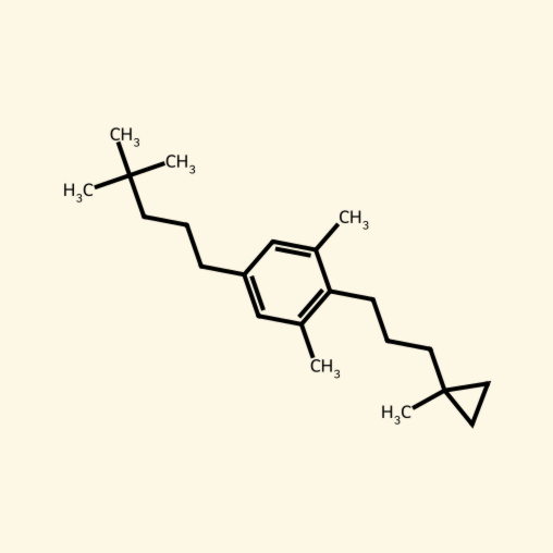 Cc1cc(CCCC(C)(C)C)cc(C)c1CCCC1(C)CC1